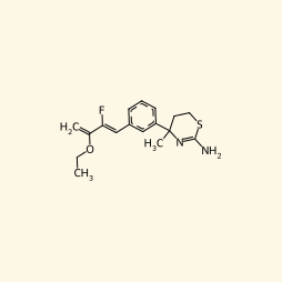 C=C(OCC)C(F)=Cc1cccc(C2(C)CCSC(N)=N2)c1